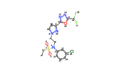 CCS(=O)(=O)N(CCn1ccc(-c2nnc(C(F)F)o2)n1)c1cccc(Cl)c1